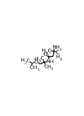 CC(C)OCC(C)(C)NC(=O)CC(C)(C)N